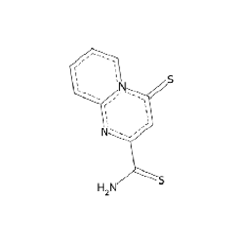 NC(=S)c1cc(=S)n2ccccc2n1